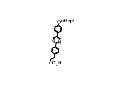 CCCCCCCOc1ccc(-c2cnc(-c3ccc(CCC(=O)O)cc3)nc2)cc1